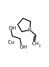 C=CN1CCCC1.OCCO.[Cu]